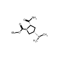 CN(C)[C@H]1C[C@@H](C(N)=O)N(C(=O)OC(C)(C)C)C1